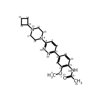 COc1cc(-c2ccc(N3CCN(C4CCC4)CC3)nn2)ccc1NC(C)=O